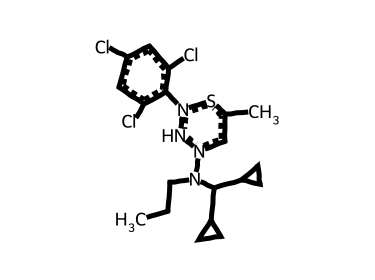 CCCN(C(C1CC1)C1CC1)n1cc(C)sn(-c2c(Cl)cc(Cl)cc2Cl)[nH]1